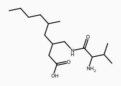 CCCCC(C)CC(CNC(=O)C(N)C(C)C)CC(=O)O